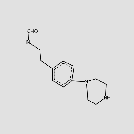 O=CNCCc1ccc(N2CCNCC2)cc1